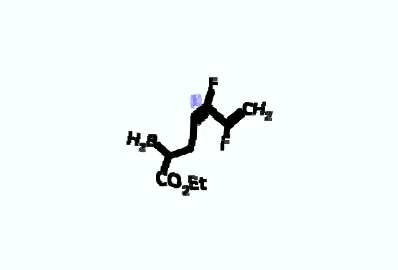 BC(C/C=C(/F)C(=C)F)C(=O)OCC